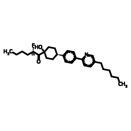 CCCCCCc1ccc(-c2ccc([C@H]3CC[C@@](O)(C(=O)[C@@H](F)CCCC)CC3)cc2)nc1